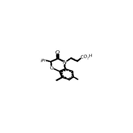 Cc1cc(C)c2c(c1)N(CCC(=O)O)C(=O)C(C(C)C)O2